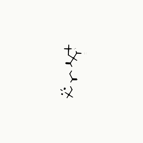 CC(C)C(C)(CC(C)(C)C)C(=O)OCC(=O)OCC(F)(F)S(=O)(=O)O